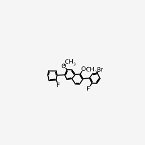 COc1cc2c(OC)c(-c3cc(Br)ccc3F)ccc2cc1-c1ccccc1F